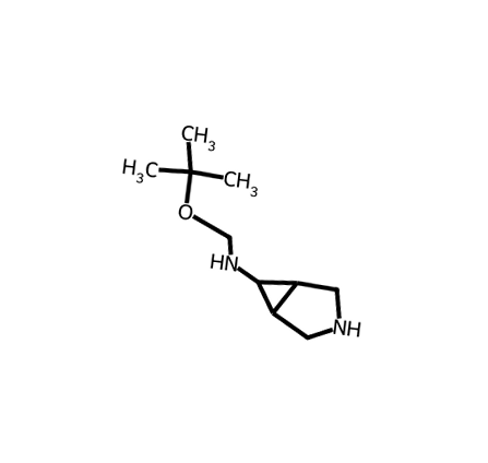 CC(C)(C)OCNC1C2CNCC21